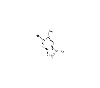 COc1cc2c(O)csc2cc1C#N